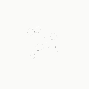 CC(C)(C)NC(=O)C(c1cc(F)cc(F)c1)N(C(=O)Cc1cncc2ccccc12)c1ccc(-c2c[nH]cn2)cc1